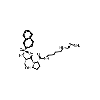 NN=CNCCCCNC(=O)[C@@H]1CCCN1C(=O)[C@H](CO)NS(=O)(=O)c1ccc2ccccc2c1